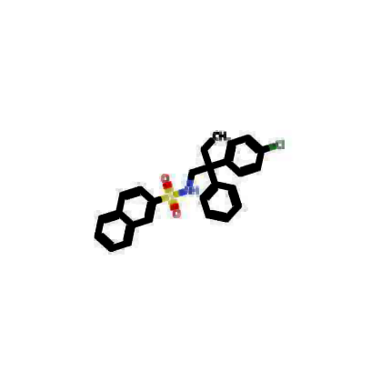 CCC(CNS(=O)(=O)c1ccc2ccccc2c1)(c1ccccc1)c1ccc(Cl)cc1